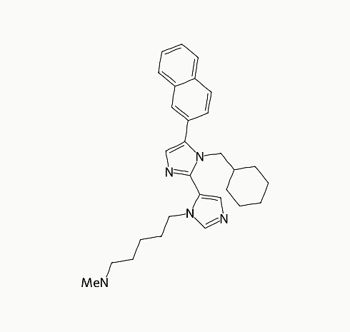 CNCCCCCn1cncc1-c1ncc(-c2ccc3ccccc3c2)n1CC1CCCCC1